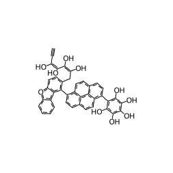 C#C/C(O)=C(O)\C(O)=C(\O)Cc1ccc2oc3ccccc3c2c1-c1ccc2ccc3c(-c4c(O)c(O)c(O)c(O)c4O)ccc4ccc1c2c43